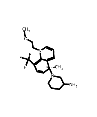 COCCN1C=CC=C2C1=C(C(F)(F)F)C=C[C@]2(C)N1CCCC(N)C1